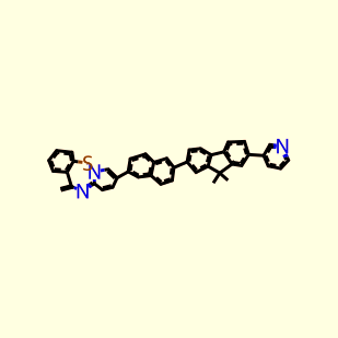 C=C1N=C2C=CC(c3ccc4cc(-c5ccc6c(c5)C(C)(C)c5cc(-c7cccnc7)ccc5-6)ccc4c3)=CN2Sc2ccccc21